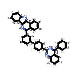 C1=CC2=Nc3c(nc(-c4cccc(-c5ccc(-c6nc(-c7ccccc7)c7ccccc7n6)cc5)c4)c4ccccc34)C2C=C1